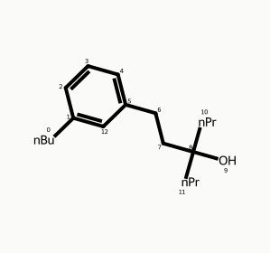 CCCCc1cccc(CCC(O)(CCC)CCC)c1